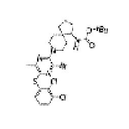 Cc1nc(N2CCC3(CCCC3NC(=O)OC(C)(C)C)CC2)c(Br)nc1Sc1cccc(Cl)c1Cl